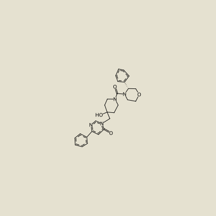 O=C(N1CCC(O)(Cn2cnc(-c3ccccc3)cc2=O)CC1)N1CCOC[C@H]1c1ccccc1